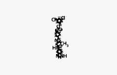 Cc1sc(C2CCN(OC(=O)OCc3cc(Cl)cc(Cl)c3)CC2)nc1CC(=O)Nc1ccc2[nH]nnc2c1